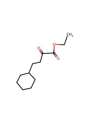 CCOC(=O)C(=O)CCC1CCCCC1